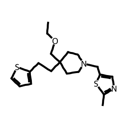 CCOCC1(CCc2cccs2)CCN(Cc2cnc(C)s2)CC1